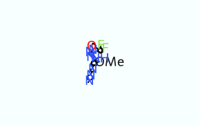 COc1cc(N2CC(N3CCN(C)CC3)C2)ccc1Nc1cc(N2OCCC2c2cccc(F)c2F)ncn1